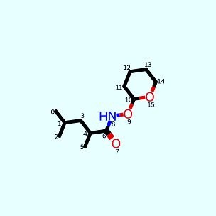 CC(C)CC(C)C(=O)NOC1CCCCO1